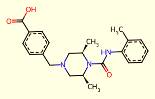 Cc1ccccc1NC(=O)N1[C@H](C)CN(Cc2ccc(C(=O)O)cc2)C[C@@H]1C